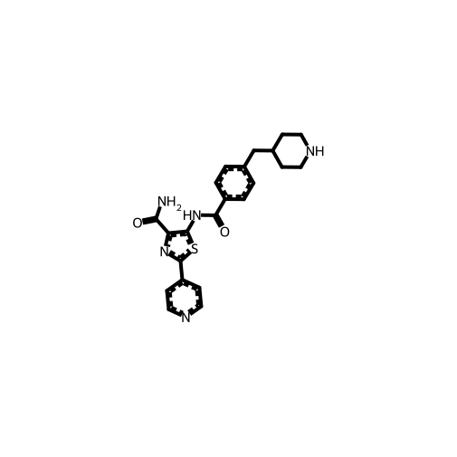 NC(=O)c1nc(-c2ccncc2)sc1NC(=O)c1ccc(CC2CCNCC2)cc1